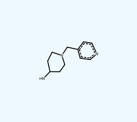 [NH]C1CCN(Cc2ccncc2)CC1